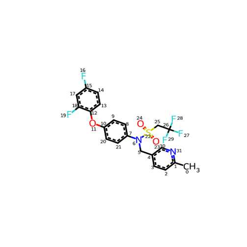 Cc1ccc(CN(c2ccc(Oc3ccc(F)cc3F)cc2)S(=O)(=O)CC(F)(F)F)cn1